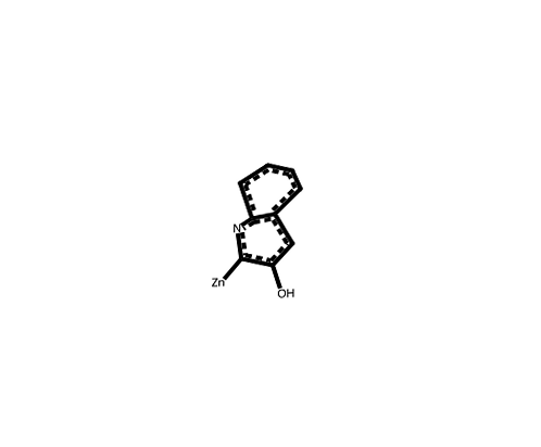 Oc1cc2ccccc2n[c]1[Zn]